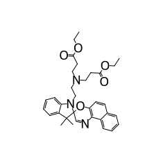 CCOC(=O)CCN(CCC(=O)OCC)CCN1c2ccccc2C(C)(C)C12C=Nc1c(ccc3ccccc13)O2